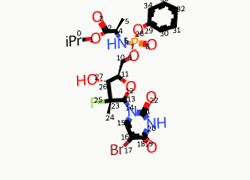 CC(C)OC(=O)[C@@H](C)NP(=O)(OC[C@H]1OC(n2cc(Br)c(=O)[nH]c2=O)[C@](C)(F)[C@@H]1O)Oc1ccccc1